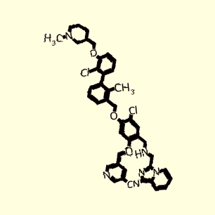 Cc1c(COc2cc(OCc3cncc(C#N)c3)c(CNCc3ncc4ccccn34)cc2Cl)cccc1-c1cccc(OCC2CCCN(C)C2)c1Cl